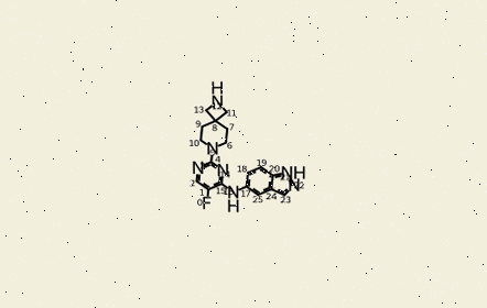 Fc1cnc(N2CCC3(CC2)CNC3)nc1Nc1ccc2[nH]ncc2c1